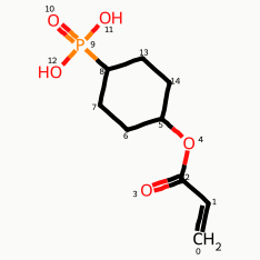 C=CC(=O)OC1CCC(P(=O)(O)O)CC1